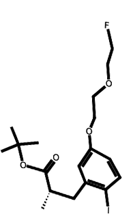 C[C@@H](Cc1cc(OCCOCCF)ccc1I)C(=O)OC(C)(C)C